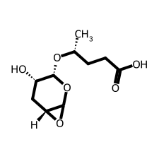 C[C@H](CCC(=O)O)O[C@@H]1OC2O[C@@H]2C[C@@H]1O